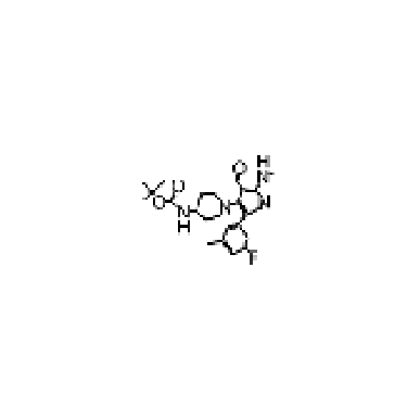 CNc1ncc(-c2cc(C)cc(F)c2)c(N2CCC(NC(=O)OC(C)(C)C)CC2)c1C=O